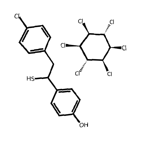 Cl[C@H]1[C@H](Cl)[C@@H](Cl)[C@@H](Cl)[C@H](Cl)[C@H]1Cl.Oc1ccc(C(S)Cc2ccc(Cl)cc2)cc1